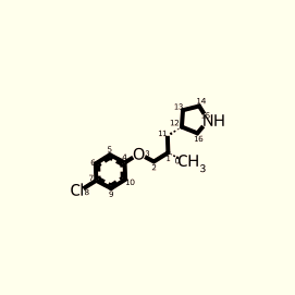 C[C@H](COc1ccc(Cl)cc1)C[C@@H]1CCNC1